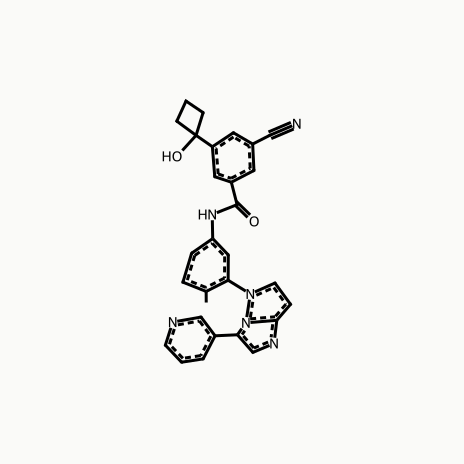 Cc1ccc(NC(=O)c2cc(C#N)cc(C3(O)CCC3)c2)cc1-n1ccc2ncc(-c3cccnc3)n21